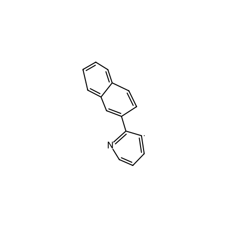 [c]1cccnc1-c1ccc2ccccc2c1